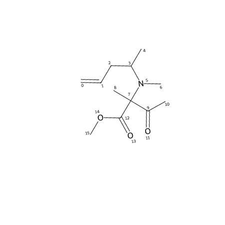 C=CCC(C)N(C)C(C)(C(C)=O)C(=O)OC